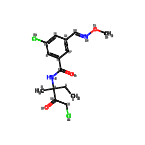 CCC(C)(NC(=O)c1cc(Cl)cc(C=NOC)c1)C(=O)CCl